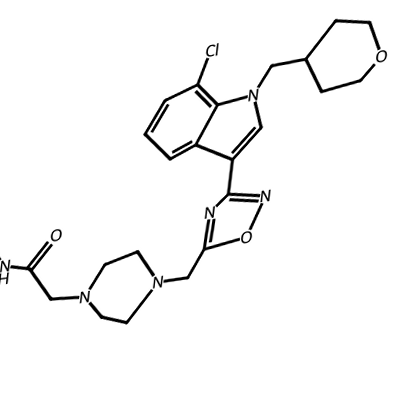 CNC(=O)CN1CCN(Cc2nc(-c3cn(CC4CCOCC4)c4c(Cl)cccc34)no2)CC1